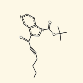 CCCCC#CC(=O)c1cn(C(=O)OC(C)(C)C)c2ccncc12